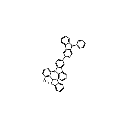 Cc1cccc(-n2c3ccccc3c3cc(-c4ccc5c(c4)c4ccccc4n5-c4ccccc4)ccc32)c1-c1cc2ccccc2s1